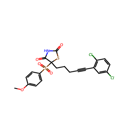 COc1ccc(S(=O)(=O)C2(CCCC#Cc3cc(Cl)ccc3Cl)SC(=O)NC2=O)cc1